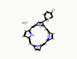 Cl.Clc1ccc(C2=CC3=CC4=NC(=CC5=NC(=CC6=NC(=CC2=N3)C=C6)C=C5)C=C4)cc1